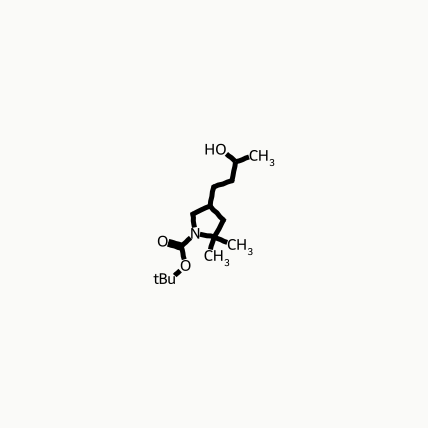 CC(O)CCC1CN(C(=O)OC(C)(C)C)C(C)(C)C1